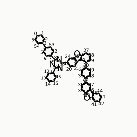 c1ccc(-c2ccc(-c3nc(-c4ccccc4)nc(-c4ccc5c(c4)oc4cccc(-c6ccc(-c7ccc8oc9ccccc9c8c7)cc6)c45)n3)cc2)cc1